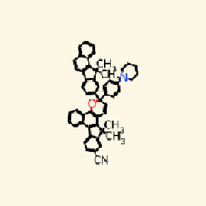 CC1(C)c2cc(C#N)ccc2-c2c1c1c(c3ccccc23)OC(c2ccc(N3CCCCC3)cc2)(c2ccc3c(c2)C(C)(C)c2c-3ccc3ccccc23)C=C1